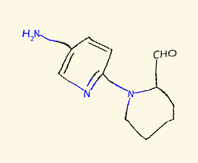 Nc1ccc(N2CCCCC2C=O)nc1